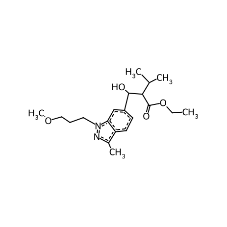 CCOC(=O)C(C(C)C)C(O)c1ccc2c(C)nn(CCCOC)c2c1